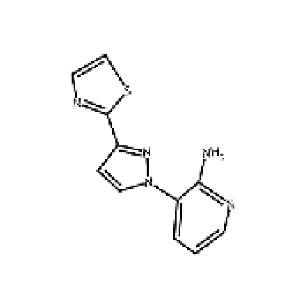 Nc1ncccc1-n1ccc(-c2nccs2)n1